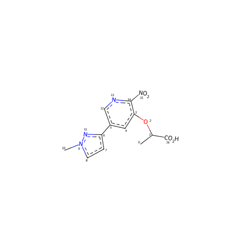 CC(Oc1cc(-c2ccn(C)n2)cnc1[N+](=O)[O-])C(=O)O